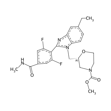 CCc1ccc2c(c1)nc(-c1c(F)cc(C(=O)NC)cc1F)n2C[C@H]1CN(C(=O)OC)CCO1